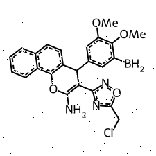 Bc1cc(C2C(c3noc(CCl)n3)=C(N)Oc3c2ccc2ccccc32)cc(OC)c1OC